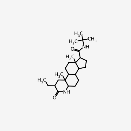 CCC1CC2(C)C(CCC3C2CCC2(C)C(C(=O)NC(C)(C)C)CCC32)NC1=O